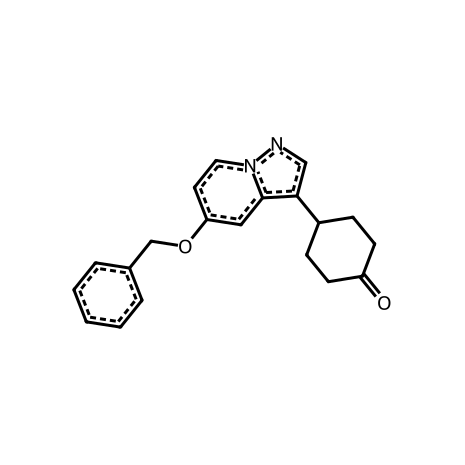 O=C1CCC(c2cnn3ccc(OCc4ccccc4)cc23)CC1